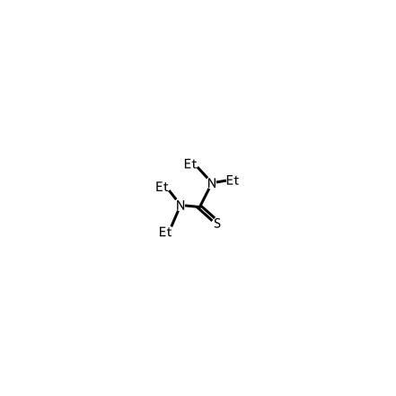 CCN(CC)C(=S)N(CC)CC